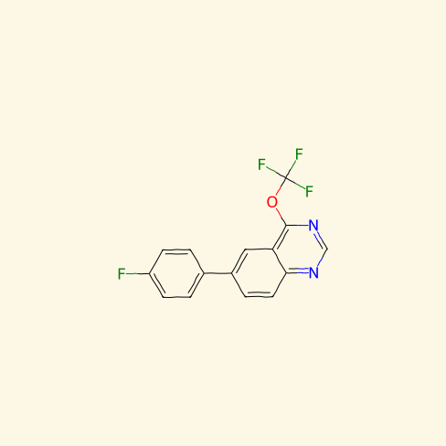 Fc1ccc(-c2ccc3ncnc(OC(F)(F)F)c3c2)cc1